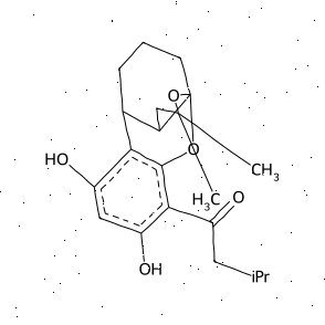 CC(C)CC(=O)c1c(O)cc(O)c2c1OC13CCCC2C1CC(C)(C)O3